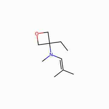 CCC1(N(C)C=C(C)C)COC1